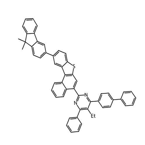 CCc1c(-c2ccccc2)nc(-c2cc3sc4ccc(-c5ccc6c(c5)-c5ccccc5C6(C)C)cc4c3c3ccccc23)nc1-c1ccc(-c2ccccc2)cc1